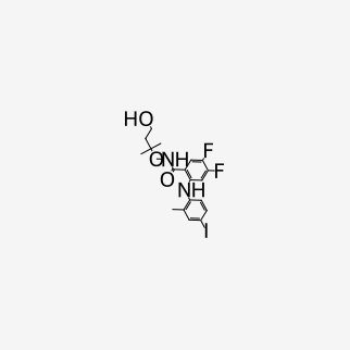 Cc1cc(I)ccc1Nc1cc(F)c(F)cc1C(=O)NOC(C)(C)CCO